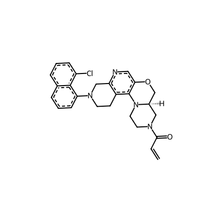 C=CC(=O)N1CCN2c3c(cnc4c3CCN(c3cccc5cccc(Cl)c35)C4)OC[C@H]2C1